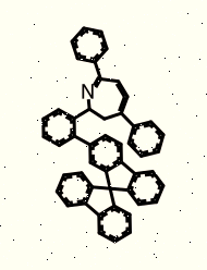 C1=CC(c2ccccc2)=NC(c2ccccc2-c2ccc3c(c2)C2(c4ccccc4-c4ccccc42)c2ccccc2-3)CC=1c1ccccc1